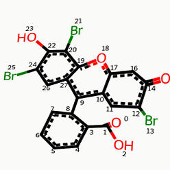 O=C(O)c1ccccc1-c1c2cc(Br)c(=O)cc-2oc2c(Br)c(O)c(Br)cc12